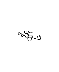 CC(N)C(C)(c1ccc(OC=O)cc1)C1(OCc2ccccc2)CCCCC1